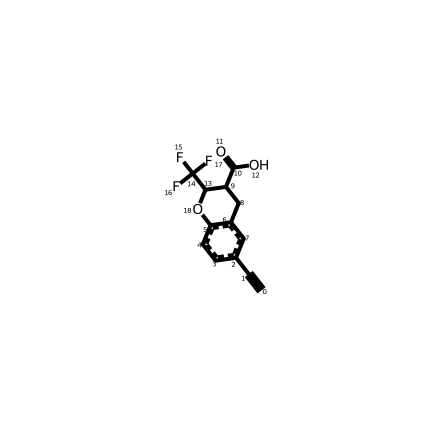 C#Cc1ccc2c(c1)CC(C(=O)O)C(C(F)(F)F)O2